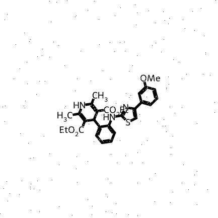 CCOC(=O)C1=C(C)NC(C)=C(C(=O)OCC)C1c1ccccc1Nc1nc(-c2cccc(OC)c2)cs1